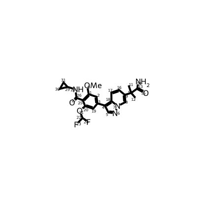 COc1cc(-c2cnn3cc(C(C)(C)C(N)=O)ccc23)cc(OC(F)F)c1C(=O)NC1CC1